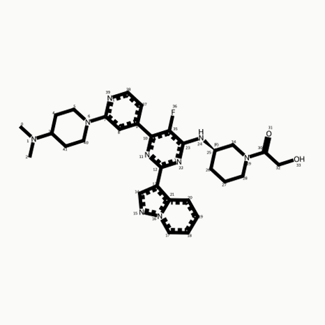 CN(C)C1CCN(c2cc(-c3nc(-c4cnn5ccccc45)nc(N[C@@H]4CCCN(C(=O)CO)C4)c3F)ccn2)CC1